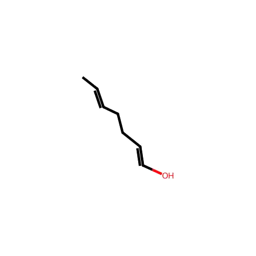 C/C=C/CC/C=C/O